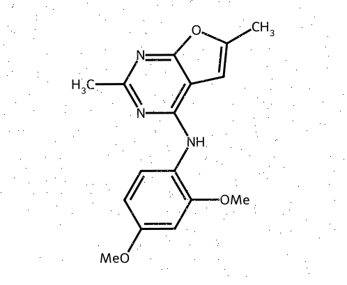 COc1ccc(Nc2nc(C)nc3oc(C)cc23)c(OC)c1